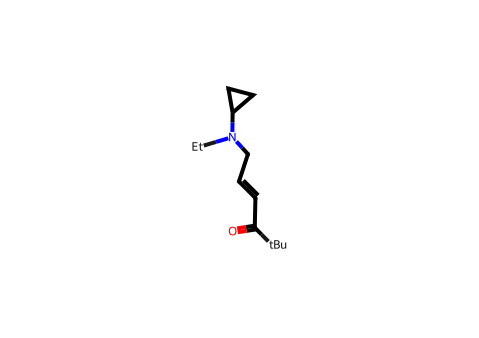 CCN(C/C=C/C(=O)C(C)(C)C)C1CC1